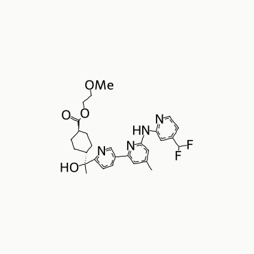 COCCOC(=O)[C@H]1CC[C@H](C(C)(O)c2ccc(-c3cc(C)cc(Nc4cc(C(F)F)ccn4)n3)cn2)CC1